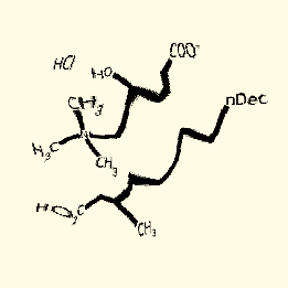 CCCCCCCCCCCCCCC(C)C(=O)O.C[N+](C)(C)CC(O)CC(=O)[O-].Cl